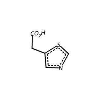 O=C(O)Cc1cncs1